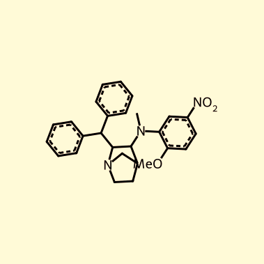 COc1ccc([N+](=O)[O-])cc1N(C)C1C2CCN(C2)C1C(c1ccccc1)c1ccccc1